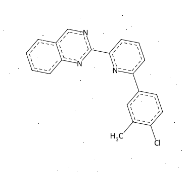 Cc1cc(-c2cccc(-c3ncc4ccccc4n3)n2)ccc1Cl